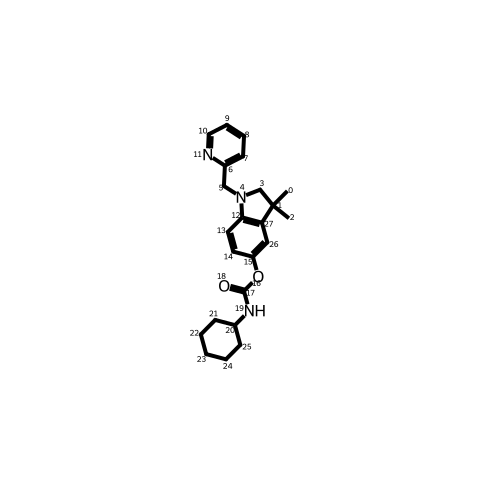 CC1(C)CN(Cc2ccccn2)c2ccc(OC(=O)NC3CCCCC3)cc21